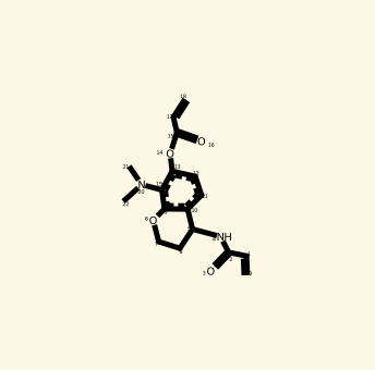 C=CC(=O)NC1CCOc2c1ccc(OC(=O)C=C)c2N(C)C